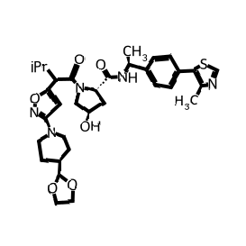 Cc1ncsc1-c1ccc([C@H](C)NC(=O)[C@@H]2C[C@@H](O)CN2C(=O)C(c2cc(N3CCC(C4OCCO4)CC3)no2)C(C)C)cc1